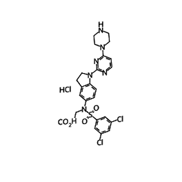 Cl.O=C(O)CN(c1ccc2c(c1)CCN2c1nccc(N2CCNCC2)n1)S(=O)(=O)c1cc(Cl)cc(Cl)c1